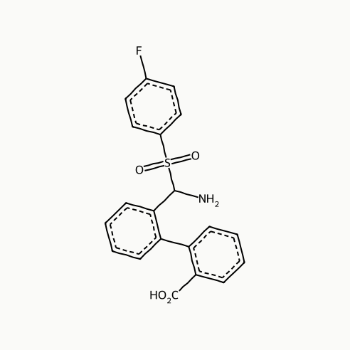 NC(c1ccccc1-c1ccccc1C(=O)O)S(=O)(=O)c1ccc(F)cc1